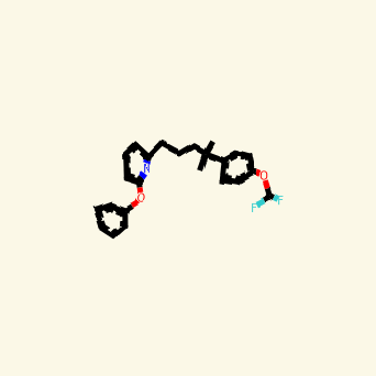 CC(C)(CCCc1cccc(Oc2ccccc2)n1)c1ccc(OC(F)F)cc1